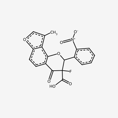 Cc1coc2ccc3c(c12)OC(c1ccccc1[N+](=O)[O-])C(F)(C(=O)O)C3=O